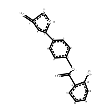 O=C(Oc1ccc(-c2cc(=S)ss2)cc1)c1ccccc1O